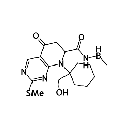 CBNC(=O)C1CC(=O)c2cnc(SC)nc2N1C1(CO)CCCCC1